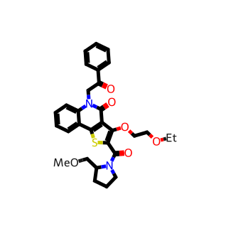 CCOCCOc1c(C(=O)N2CCCC2COC)sc2c1c(=O)n(CC(=O)c1ccccc1)c1ccccc21